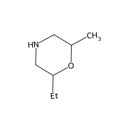 [CH2]CC1CNCC(C)O1